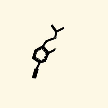 C#Cc1ccc(COC(C)C)c(F)c1